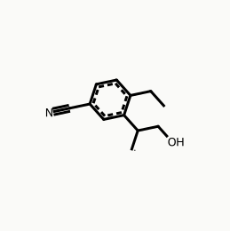 [CH2]C(CO)c1cc(C#N)ccc1CC